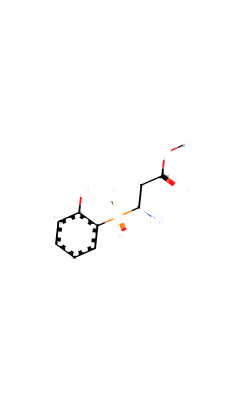 CC(C)OC(=O)C[C@@H](N)[P@@](=O)(Cl)c1ccccc1O